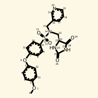 COc1ccc(Oc2ccc(S(=O)(=O)N(Cc3cccnc3)C[C@@H]3NC(=O)NC3=O)cc2)cc1